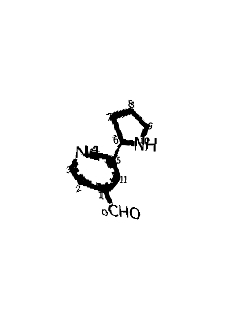 O=Cc1ccnc([C@H]2CCCN2)c1